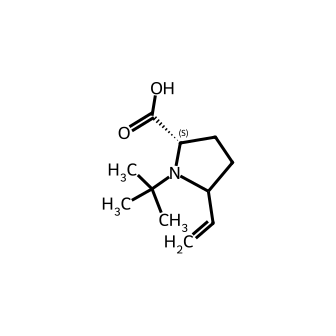 C=CC1CC[C@@H](C(=O)O)N1C(C)(C)C